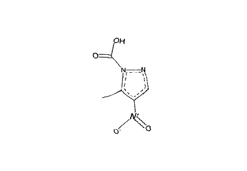 Cc1c([N+](=O)[O-])cnn1C(=O)O